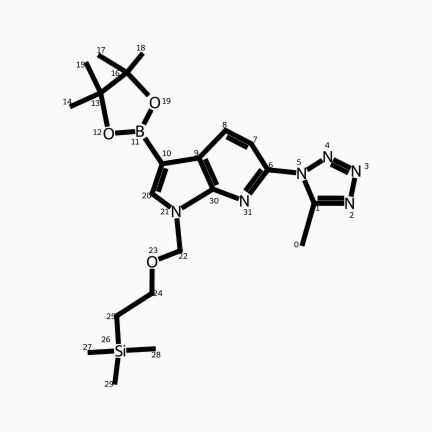 Cc1nnnn1-c1ccc2c(B3OC(C)(C)C(C)(C)O3)cn(COCC[Si](C)(C)C)c2n1